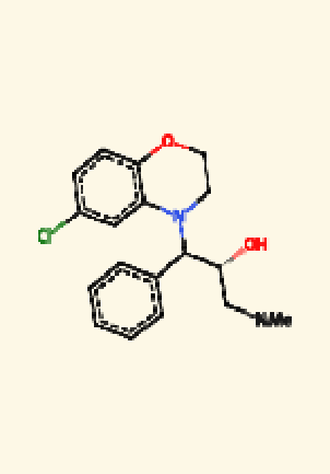 CNC[C@@H](O)C(c1ccccc1)N1CCOc2ccc(Cl)cc21